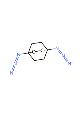 [N-]=[N+]=NC12CCC(N=[N+]=[N-])(CC1)CC2